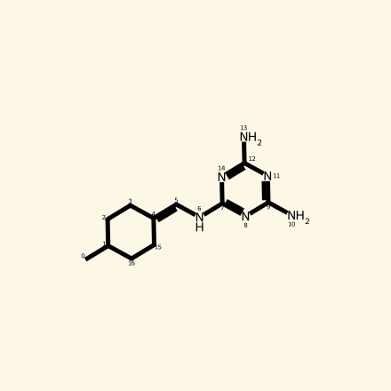 CC1CCC(=CNc2nc(N)nc(N)n2)CC1